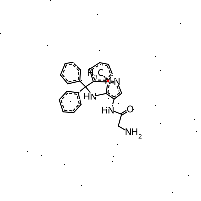 Cn1ncc(NC(=O)CN)c1NC(c1ccccc1)(c1ccccc1)c1ccccc1